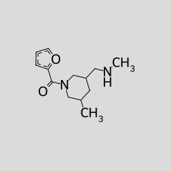 CNCC1CC(C)CN(C(=O)c2ccco2)C1